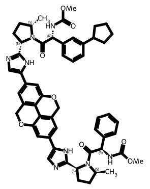 COC(=O)N[C@@H](C(=O)N1[C@@H](C)CC[C@H]1c1ncc(-c2cc3c4c(c2)OCc2cc(-c5cnc([C@@H]6CC[C@H](C)N6C(=O)[C@H](NC(=O)OC)c6cccc(C7CCCC7)c6)[nH]5)cc(c2-4)OC3)[nH]1)c1ccccc1